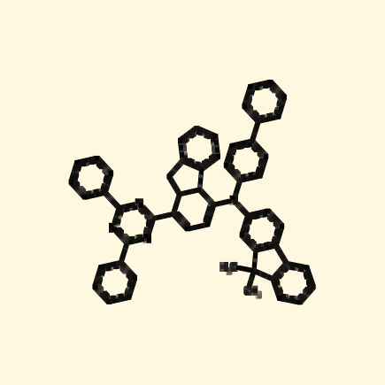 CC1(C)c2ccccc2-c2ccc(N(C3=CC=C(c4nc(-c5ccccc5)nc(-c5ccccc5)n4)C4Cc5ccccc5C34)c3ccc(-c4ccccc4)cc3)cc21